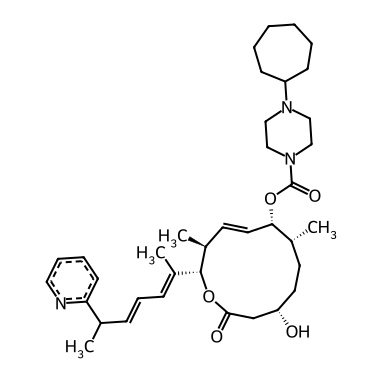 C/C(=C\C=C\C(C)c1ccccn1)[C@H]1OC(=O)C[C@@H](O)CC[C@@H](C)[C@@H](OC(=O)N2CCN(C3CCCCCC3)CC2)/C=C/[C@@H]1C